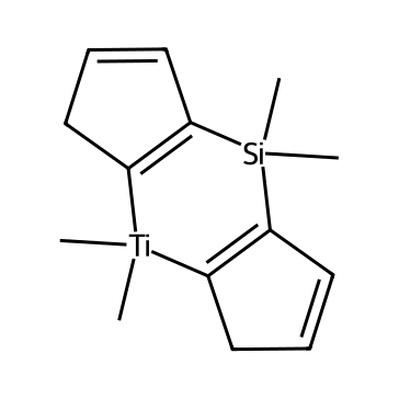 C[Si]1(C)C2=[C](CC=C2)[Ti]([CH3])([CH3])[C]2=C1C=CC2